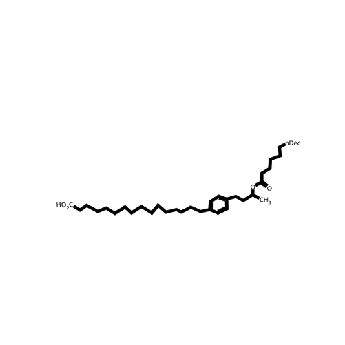 CCCCCCCCCCCCCCCC(=O)OC(C)CCc1ccc(CCCCCCCCCCCCCCCC(=O)O)cc1